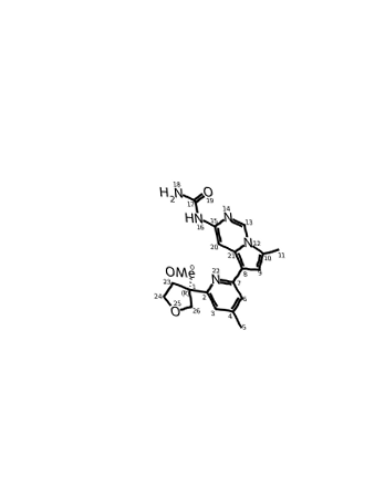 CO[C@@]1(c2cc(C)cc(-c3cc(C)n4cnc(NC(N)=O)cc34)n2)CCOC1